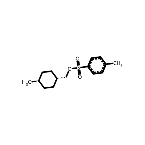 Cc1ccc(S(=O)(=O)OC[C@H]2CC[C@H](C)CC2)cc1